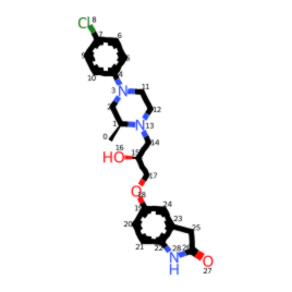 C[C@H]1CN(c2ccc(Cl)cc2)CCN1C[C@H](O)COc1ccc2c(c1)CC(=O)N2